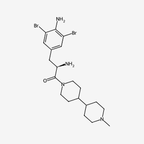 CN1CCC(C2CCN(C(=O)[C@H](N)Cc3cc(Br)c(N)c(Br)c3)CC2)CC1